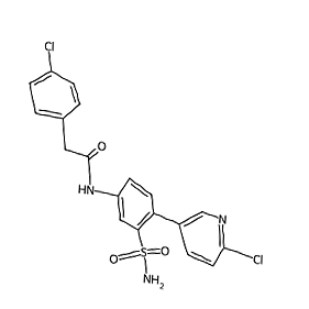 NS(=O)(=O)c1cc(NC(=O)Cc2ccc(Cl)cc2)ccc1-c1ccc(Cl)nc1